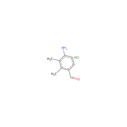 Cc1c(N)ccc(C=O)c1C.Cl